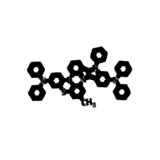 Cc1cc2c3c(c1)-n1c4c(cccc4c4c1c1ccc(N(c5ccccc5)c5ccccc5)cc1n4-c1ccccc1)B3c1ccc(N(c3ccccc3)c3ccccc3)cc1S2